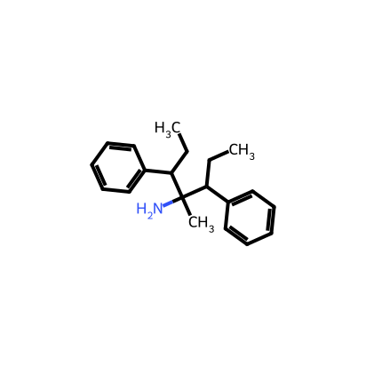 CCC(c1ccccc1)C(C)(N)C(CC)c1ccccc1